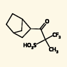 CC(C(=O)C1CC2CCC1C2)(C(F)(F)F)S(=O)(=O)O